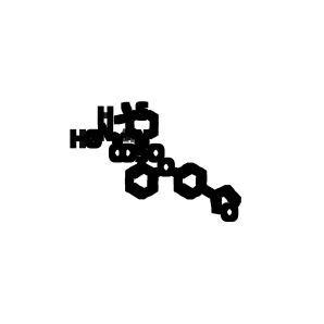 CC1(C)SCCN(S(=O)(=O)c2ccccc2Oc2ccc(-c3ccoc3)cc2)[C@@H]1C(=O)NO